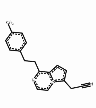 Cc1ccc(CCc2nccn3c(CC#N)ccc23)cc1